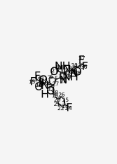 NC(=O)c1c(-c2ccc(NS(=O)(=O)C(F)F)c(OCCc3ccc(F)cc3)c2)n[nH]c1Nc1cc(C(F)F)on1